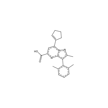 Cc1cccc(C)c1-c1c(C)nn2c(C3=CCCC3)cc(C(=O)O)nc12